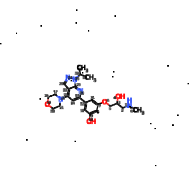 CNCC(O)COc1cc(O)cc(-c2cc(N3CCOCC3)c3cnn(C(C)C)c3n2)c1